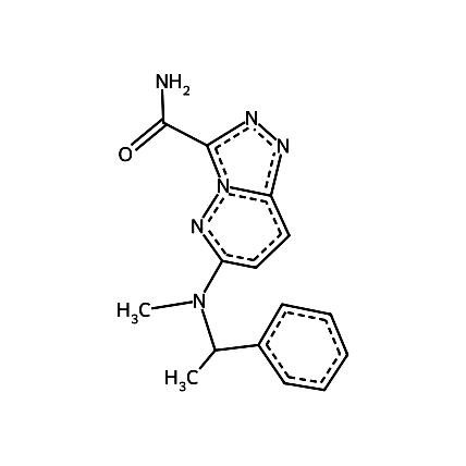 CC(c1ccccc1)N(C)c1ccc2nnc(C(N)=O)n2n1